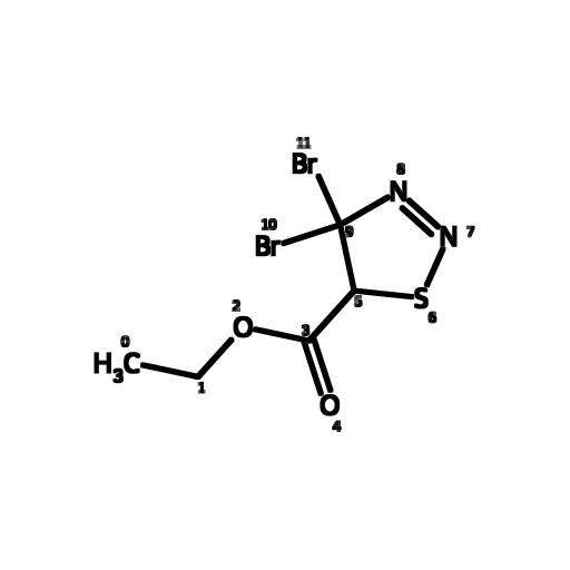 CCOC(=O)C1SN=NC1(Br)Br